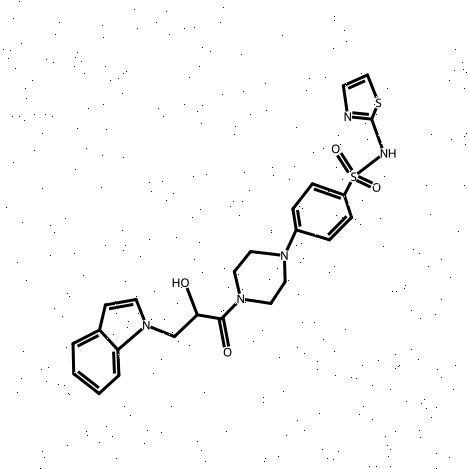 O=C(C(O)Cn1ccc2ccccc21)N1CCN(c2ccc(S(=O)(=O)Nc3nccs3)cc2)CC1